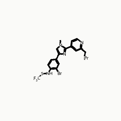 CC(C)Cc1cc(-c2nc(-c3ccc(NSC(F)(F)F)c(Br)c3)cn2C)ccn1